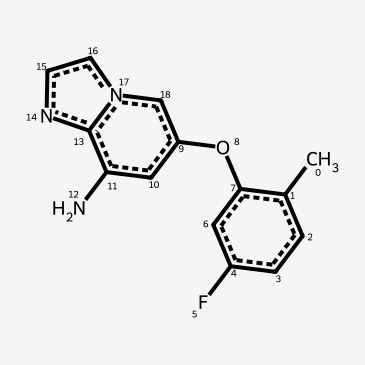 Cc1ccc(F)cc1Oc1cc(N)c2nccn2c1